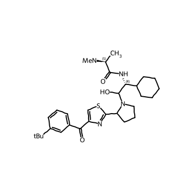 CN[C@@H](C)C(=O)N[C@H](C1CCCCC1)C(O)N1CCCC1c1nc(C(=O)c2cccc(C(C)(C)C)c2)cs1